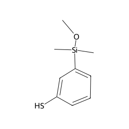 CO[Si](C)(C)c1cccc(S)c1